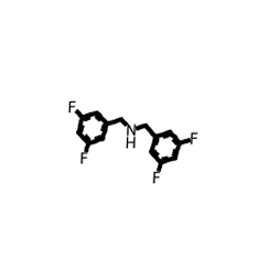 Fc1cc(F)cc(CNCc2cc(F)cc(F)c2)c1